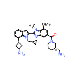 COc1cc(C(=O)N2CCC[C@@H](CN)C2)cc2nc(-c3cc4cccc(C5CC(N)C5)c4n3CC3CC3)n(C)c12